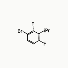 CC(C)c1c(F)ccc(Br)c1F